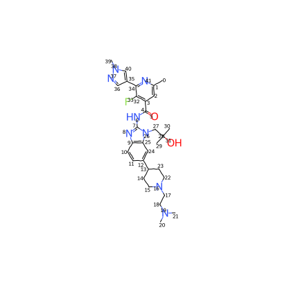 Cc1cc(C(=O)Nc2nc3ccc(C4CCN(CCN(C)C)CC4)cc3n2CC(C)(C)O)c(F)c(-c2cnn(C)c2)n1